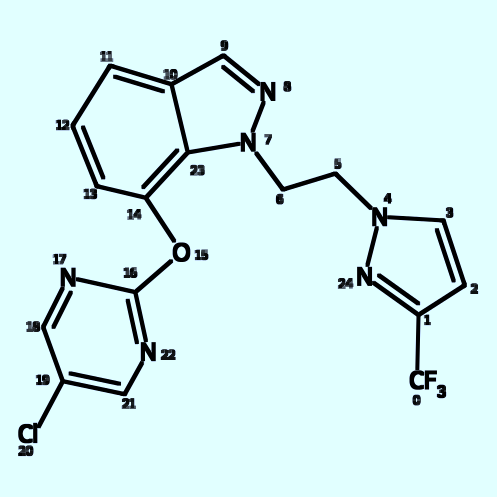 FC(F)(F)c1ccn(CCn2ncc3cccc(Oc4ncc(Cl)cn4)c32)n1